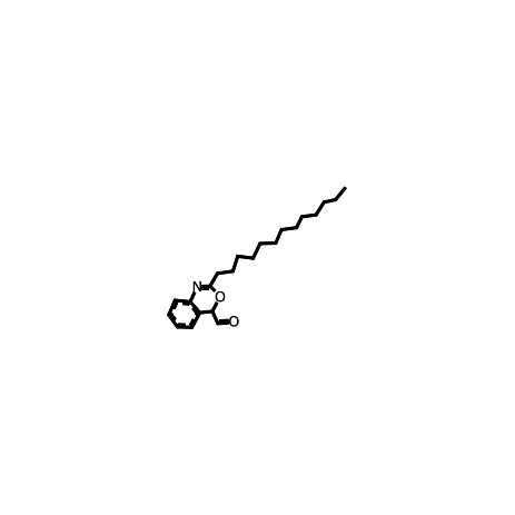 CCCCCCCCCCCCCC1=Nc2ccccc2C(C=O)O1